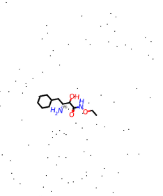 CCONC(=O)C(O)[C@H](N)CC1CCCCC1